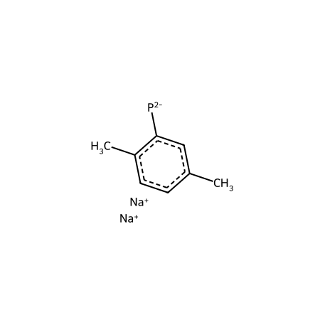 Cc1ccc(C)c([P-2])c1.[Na+].[Na+]